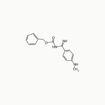 CNc1ccc(C(=N)NC(=O)OCc2ccccc2)cc1